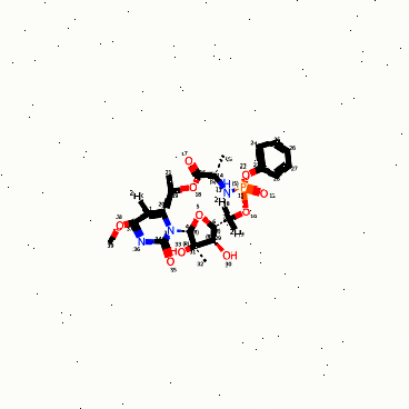 [2H]c1cn([C@@H]2O[C@H](C([2H])([2H])O[P@@](=O)(N[C@@H](C)C(=O)OC(C)C)Oc3ccccc3)[C@@H](O)[C@@]2(C)O)c(=O)nc1OC